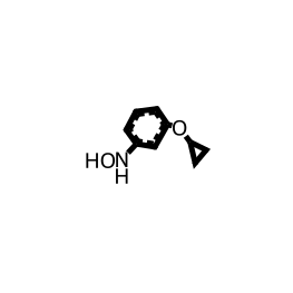 ONc1cccc(OC2CC2)c1